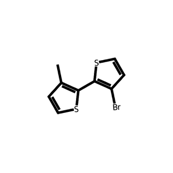 Cc1ccsc1-c1sccc1Br